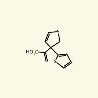 C=C(C(=O)O)C1(c2cccs2)C=CSC1